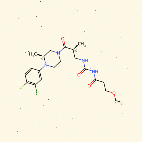 COCCC(=O)NC(=O)NC[C@H](C)C(=O)N1CCN(c2ccc(F)c(Cl)c2)[C@@H](C)C1